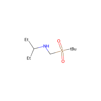 CCC(CC)NCS(=O)(=O)C(C)(C)C